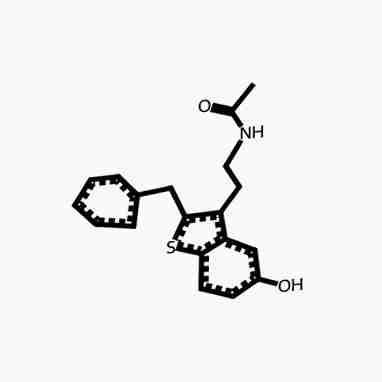 CC(=O)NCCc1c(Cc2ccccc2)sc2ccc(O)cc12